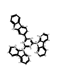 c1ccc2c(c1)sc1cc(-c3nc(-n4c5ncccc5c5cccnc54)nc(-n4c5ncccc5c5cccnc54)n3)ccc12